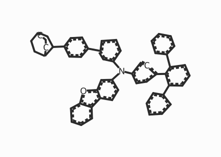 c1ccc(-c2cccc(-c3ccccc3)c2-c2ccc(N(c3cccc(-c4ccc(C5CC6CCCC5CC6)cc4)c3)c3ccc4c(c3)oc3ccccc34)cc2)cc1